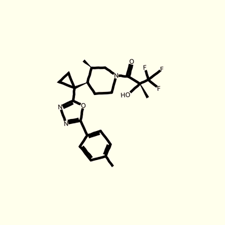 Cc1ccc(-c2nnc(C3([C@@H]4CCN(C(=O)[C@@](C)(O)C(F)(F)F)C[C@@H]4C)CC3)o2)cc1